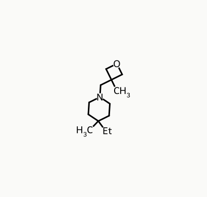 CCC1(C)CCN(CC2(C)COC2)CC1